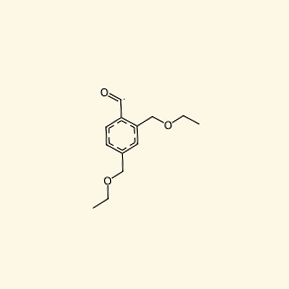 CCOCc1ccc([C]=O)c(COCC)c1